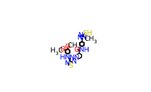 COc1ccc(Nc2nc(N3CCCC(C(=O)Nc4ccc(-c5nnc(S)n5C)cc4)C3)nc3scnc23)cc1OC